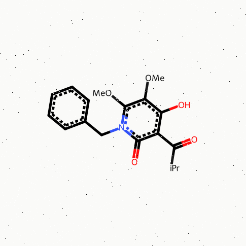 COc1c(O)c(C(=O)C(C)C)c(=O)n(Cc2ccccc2)c1OC